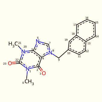 Cn1c(=O)c2c(ncn2Cc2ccc3ccccc3c2)n(C)c1=O